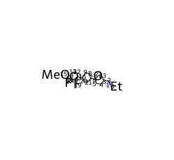 CC/C=C/C1CCC(C2CCC(c3ccc(OC)c(F)c3F)CC2)OC1